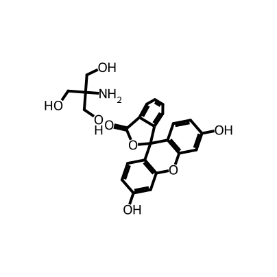 NC(CO)(CO)CO.O=C1OC2(c3ccc(O)cc3Oc3cc(O)ccc32)c2ccccc21